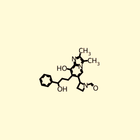 Cc1nc2c(O)c(CCC(O)c3ccccc3)c(C3CCN3C=O)cn2c1C